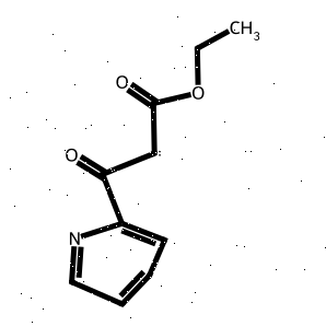 CCOC(=O)[C]C(=O)c1ccccn1